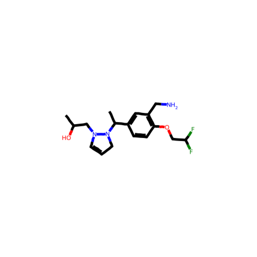 CC(O)CN1C=CCN1C(C)c1ccc(OCC(F)F)c(CN)c1